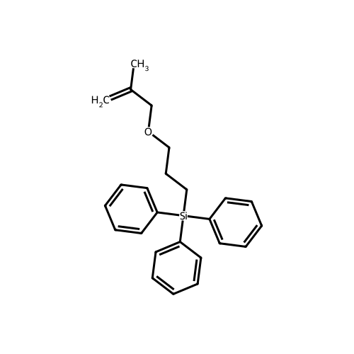 C=C(C)COCCC[Si](c1ccccc1)(c1ccccc1)c1ccccc1